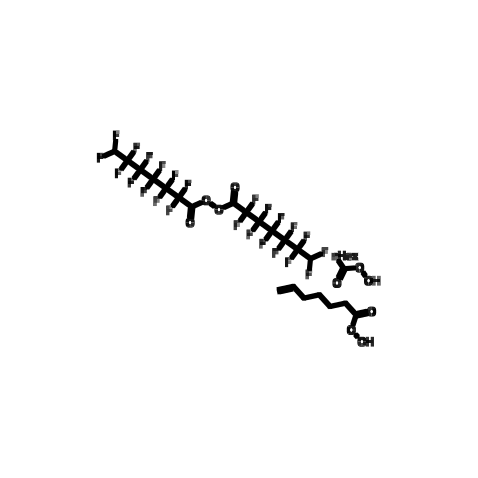 C=CCCCCC(=O)OO.CCCCCCC(=O)OO.O=C(OOC(=O)C(F)(F)C(F)(F)C(F)(F)C(F)(F)C(F)(F)C(F)F)C(F)(F)C(F)(F)C(F)(F)C(F)(F)C(F)(F)C(F)F